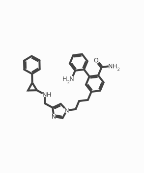 NC(=O)c1ccc(CCCn2cnc(CNC3CC3c3ccccc3)c2)cc1-c1ccccc1N